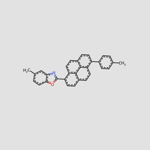 Cc1ccc(-c2ccc3ccc4c(-c5nc6cc(C)ccc6o5)ccc5ccc2c3c54)cc1